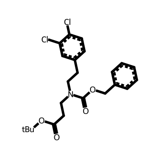 CC(C)(C)OC(=O)CCN(CCc1ccc(Cl)c(Cl)c1)C(=O)OCc1ccccc1